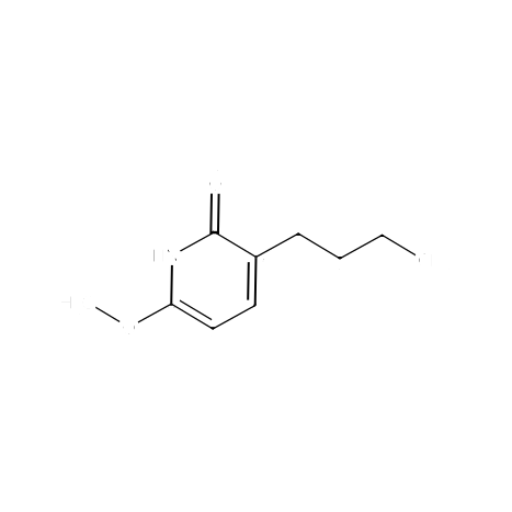 CCCCc1ccc(OC)[nH]c1=O